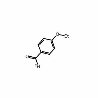 [2H]C(=O)c1ccc(OCC)cc1